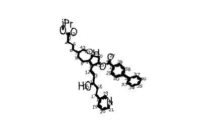 CC(C)OC(=O)CCCC1CCC2C(/C=C/C(O)CCc3cccnc3)C(OC(=O)c3ccc(-c4ccccc4)cc3)C[C@@H]2OC1